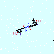 Cc1cc(CCC(=O)NNC(=O)CCc2cc(I)c(O)c(C(C)(C)C)c2)cc(I)c1O